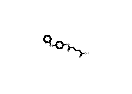 O=C(O)CCCC(=O)Nc1ccc(Nc2ccccc2)cc1